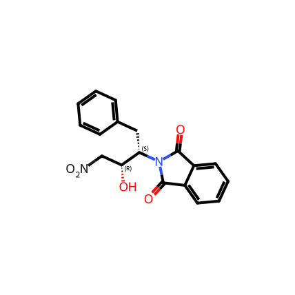 O=C1c2ccccc2C(=O)N1[C@@H](Cc1ccccc1)[C@H](O)C[N+](=O)[O-]